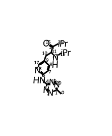 Cc1nnc(Nc2ccc(CC(NC(C)C)C(=O)C(C)C)cn2)nn1